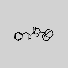 c1ccc(CNC2=NCC(C34CC5CC(CC(C5)C3)C4)O2)cc1